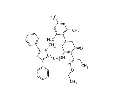 CCO/N=C(\CC)C1=C(O)CC(c2c(C)cc(C)cc2C)CC1=O.Cn1c(-c2ccccc2)cc(-c2ccccc2)[n+]1C